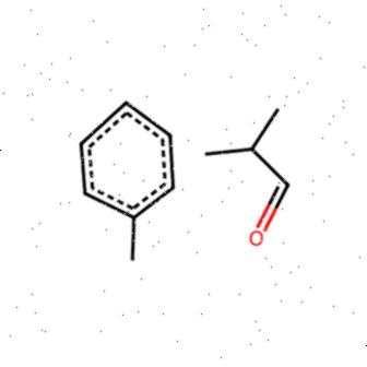 CC(C)C=O.Cc1ccccc1